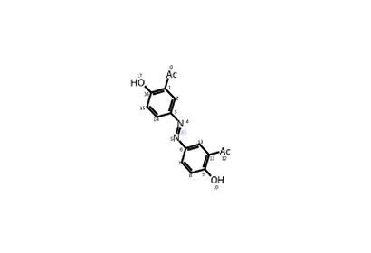 CC(=O)c1cc(/N=N/c2ccc(O)c(C(C)=O)c2)ccc1O